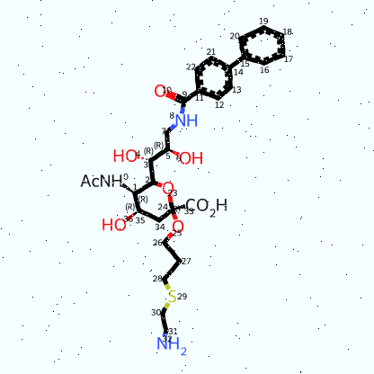 CC(=O)N[C@H]1C([C@H](O)[C@H](O)CNC(=O)c2ccc(-c3ccccc3)cc2)O[C@@](OCCCSCCN)(C(=O)O)C[C@H]1O